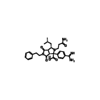 CC(C)CC1C2C(=O)N(CCc3ccccc3)C(=O)C2C(C(=O)O)(c2ccc(C(=N)N)cc2)N1CCC(N)=O